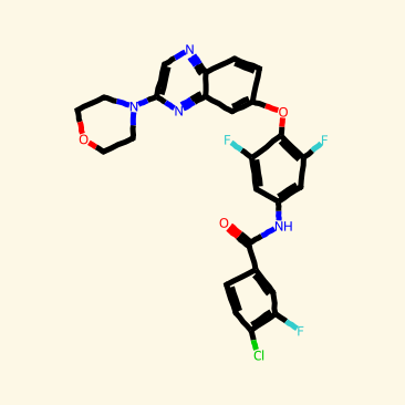 O=C(Nc1cc(F)c(Oc2ccc3ncc(N4CCOCC4)nc3c2)c(F)c1)c1ccc(Cl)c(F)c1